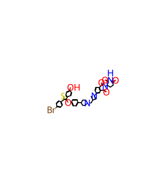 O=C1CCC(N2C(=O)c3ccc(N4CC(CN5CCC(c6ccc(Oc7c(-c8ccc(Br)cc8)sc8cc(O)ccc78)cc6)CC5)C4)cc3C2=O)C(=O)N1